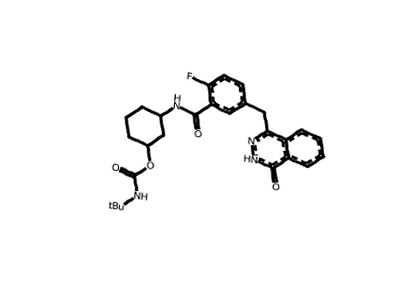 CC(C)(C)NC(=O)OC1CCCC(NC(=O)c2cc(Cc3n[nH]c(=O)c4ccccc34)ccc2F)C1